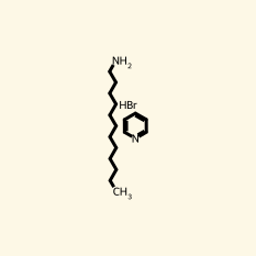 Br.CCCCCCCCCCCCN.c1ccncc1